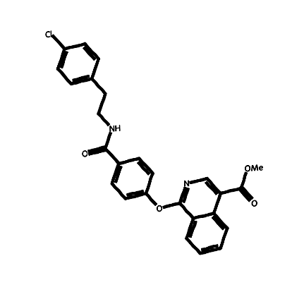 COC(=O)c1cnc(Oc2ccc(C(=O)NCCc3ccc(Cl)cc3)cc2)c2ccccc12